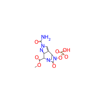 COC(=O)C1c2nn(C(N)=O)cc2C2CN1C(=O)N2OS(=O)(=O)O